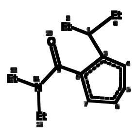 CCC(CC)c1ccccc1C(=O)N(CC)CC